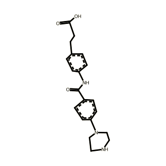 O=C(O)CCc1ccc(NC(=O)c2ccc(N3CCNCC3)cc2)cc1